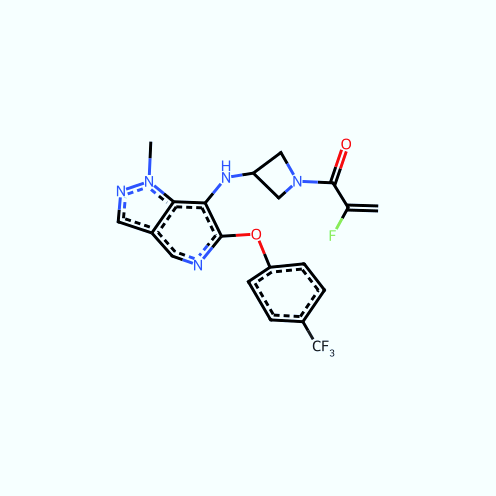 C=C(F)C(=O)N1CC(Nc2c(Oc3ccc(C(F)(F)F)cc3)ncc3cnn(C)c23)C1